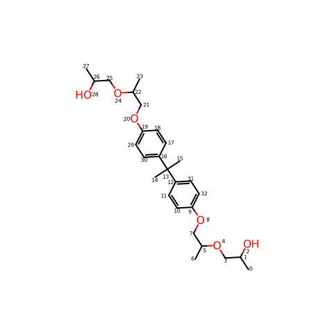 CC(O)COC(C)COc1ccc(C(C)(C)c2ccc(OCC(C)OCC(C)O)cc2)cc1